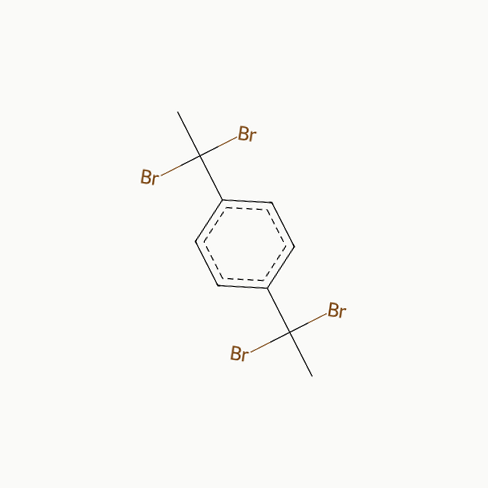 CC(Br)(Br)c1ccc(C(C)(Br)Br)cc1